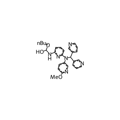 CCCCOC(O)Nc1cccc(N(c2ccc(OC)nc2)C(c2cccnc2)c2cccnc2)n1